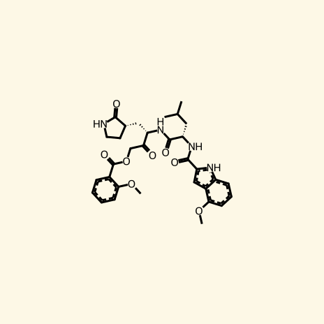 COc1ccccc1C(=O)OCC(=O)[C@H](C[C@@H]1CCNC1=O)NC(=O)[C@H](CC(C)C)NC(=O)c1cc2c(OC)cccc2[nH]1